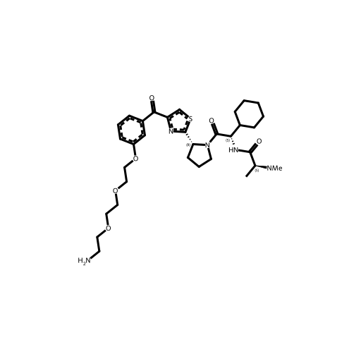 CN[C@@H](C)C(=O)N[C@H](C(=O)N1CCC[C@@H]1c1nc(C(=O)c2cccc(OCCOCCOCCN)c2)cs1)C1CCCCC1